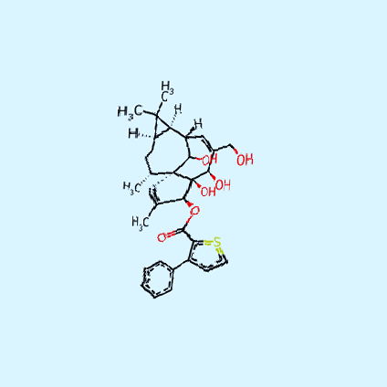 CC1=C[C@]23C(O)[C@@H](C=C(CO)[C@@H](O)[C@]2(O)[C@H]1OC(=O)c1sccc1-c1ccccc1)[C@H]1[C@@H](C[C@H]3C)C1(C)C